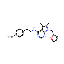 CC(=O)Nc1ccc(CCNc2ncnc3c2c(C)c(C)n3Cc2ccco2)cc1